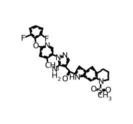 Cc1cc(Oc2c(F)cccc2F)ncc1-n1ncc(C(=O)c2cc3cc4c(cc3[nH]2)N(S(C)(=O)=O)CCC4)c1N